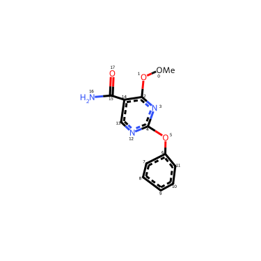 COOc1nc(Oc2ccccc2)ncc1C(N)=O